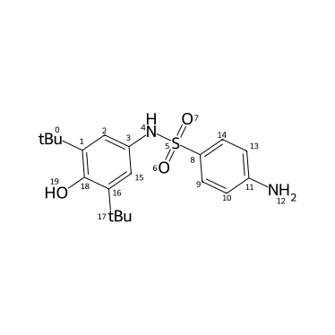 CC(C)(C)c1cc(NS(=O)(=O)c2ccc(N)cc2)cc(C(C)(C)C)c1O